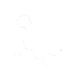 CNC(CCN(C)CCC(C)C)CSc1ccccc1